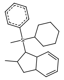 CC1CC2C=CC=CC2C1[Si](C)(c1ccccc1)C1CCCCC1